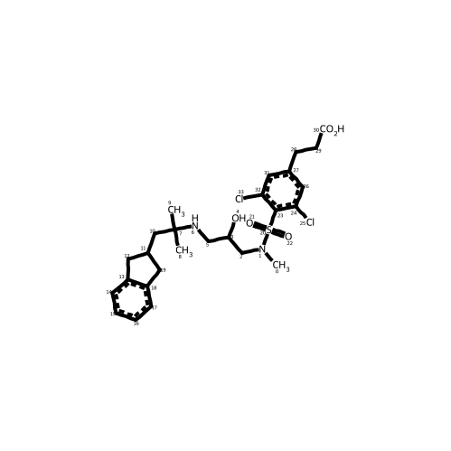 CN(CC(O)CNC(C)(C)CC1Cc2ccccc2C1)S(=O)(=O)c1c(Cl)cc(CCC(=O)O)cc1Cl